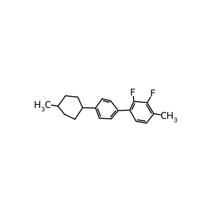 Cc1ccc(-c2ccc(C3CCC(C)CC3)cc2)c(F)c1F